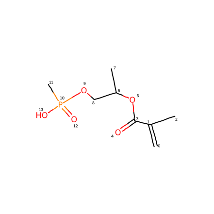 C=C(C)C(=O)OC(C)COP(C)(=O)O